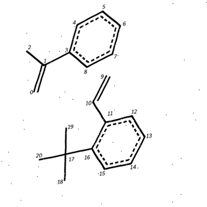 C=C(C)c1ccccc1.C=Cc1ccccc1C(C)(C)C